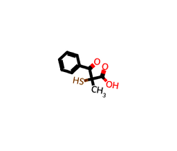 CC(S)(C(=O)O)C(=O)c1ccccc1